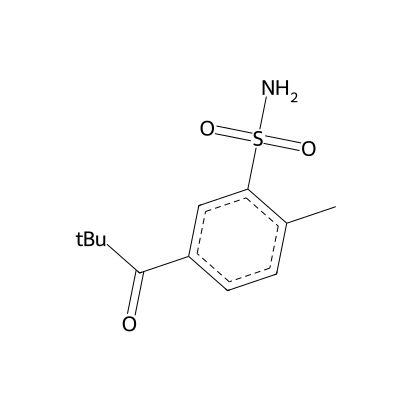 Cc1ccc(C(=O)C(C)(C)C)cc1S(N)(=O)=O